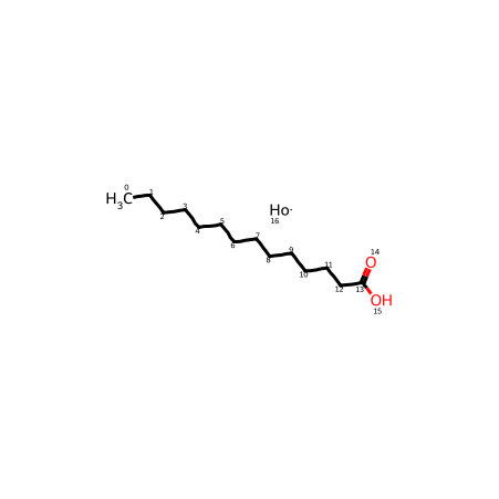 CCCCCCCCCCCCCC(=O)O.[Ho]